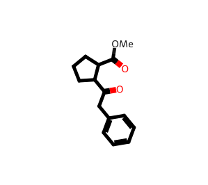 COC(=O)C1CCCC1C(=O)Cc1ccccc1